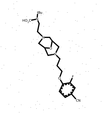 CC(C)(C)N(CCN1CC2CN(CCCOc3ccc(C#N)cc3F)CC(C1)O2)C(=O)O